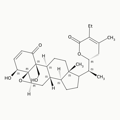 CCC1=C(C)C[C@H]([C@@H](C)C2CC[C@H]3[C@@H]4C[C@H]5O[C@]56[C@@H](O)C=CC(=O)[C@]6(CO)[C@H]4CC[C@]23C)OC1=O